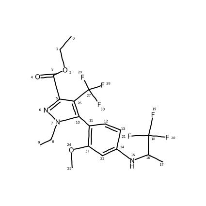 CCOC(=O)c1nn(CC)c(-c2ccc(NC(C)C(F)(F)F)cc2OC)c1C(F)(F)F